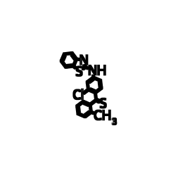 Cc1ccccc1C(=S)c1ccc(Nc2nc3ccccc3s2)cc1Cl